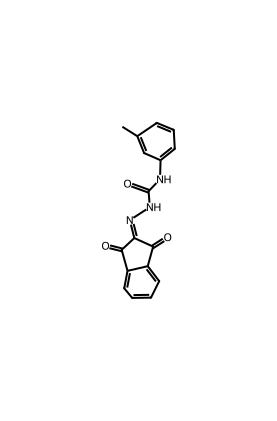 Cc1cccc(NC(=O)NN=c2c(=O)c3ccccc3c2=O)c1